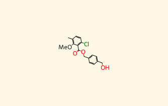 COc1c(C)ccc(Cl)c1C(=O)OCc1ccc(CO)cc1